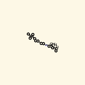 CC1(C)c2cc(/C=C/c3ccc4cc(-c5ccc6c(ccc7cc(N8c9ccccc9N(c9ccccc9)c9ccccc98)ccc76)c5)ccc4c3)ccc2-c2ccc(N3CCCc4ccccc43)cc21